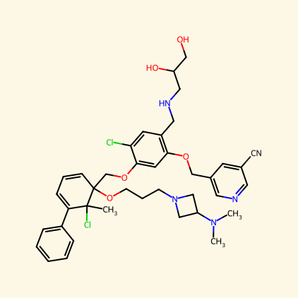 CN(C)C1CN(CCCOC2(COc3cc(OCc4cncc(C#N)c4)c(CNCC(O)CO)cc3Cl)C=CC=C(c3ccccc3)C2(C)Cl)C1